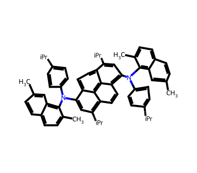 Cc1ccc2ccc(C)c(N(c3ccc(C(C)C)cc3)c3cc(C(C)C)c4ccc5c(N(c6ccc(C(C)C)cc6)c6c(C)ccc7ccc(C)cc67)cc(C(C)C)c6ccc3c4c65)c2c1